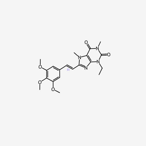 CCn1c(=O)n(C)c(=O)c2c1nc(/C=C/c1cc(OC)c(OC)c(OC)c1)n2C